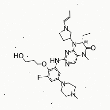 CC=CN1CCC(N2c3nc(Nc4cc(N5CCN(C)CC5)cc(F)c4OCCCO)ncc3N(C)C(=O)[C@H]2CC)C1